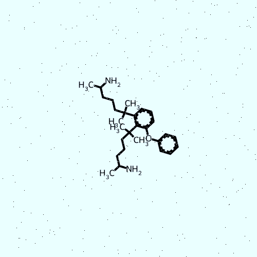 CC(N)CCCC(C)(C)c1cccc(Oc2ccccc2)c1C(C)(C)CCCC(C)N